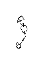 C(#Cc1ccco1)CN1CCN(c2nccs2)CC1